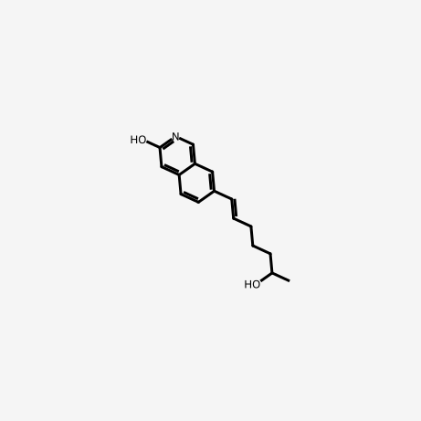 CC(O)CCCC=Cc1ccc2cc(O)ncc2c1